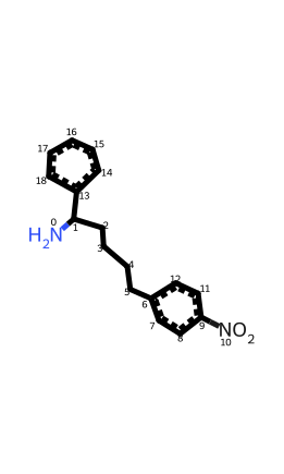 NC(CCCCc1ccc([N+](=O)[O-])cc1)c1ccccc1